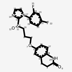 O=C1CCc2cc(OCCC[S+]([O-])c3nccn3-c3ccc(F)cc3F)ccc2N1